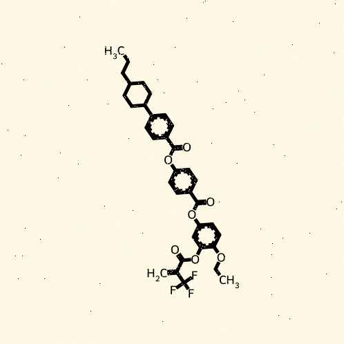 C=C(C(=O)Oc1cc(OC(=O)c2ccc(OC(=O)c3ccc(C4CCC(CCC)CC4)cc3)cc2)ccc1OCC)C(F)(F)F